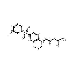 NC(=O)CNCC1CCCc2cc(S(=O)(=O)c3cccc(F)c3)ccc21